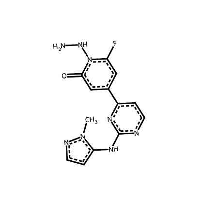 Cn1nccc1Nc1nccc(-c2cc(F)n(NN)c(=O)c2)n1